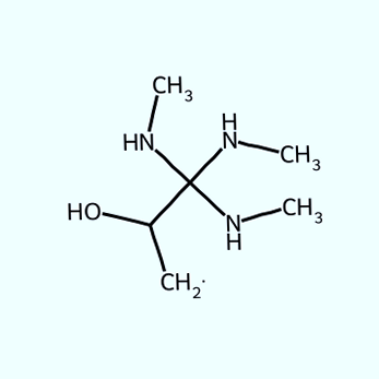 [CH2]C(O)C(NC)(NC)NC